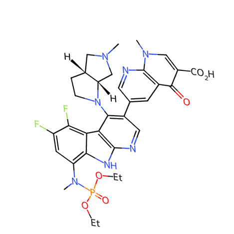 CCOP(=O)(OCC)N(C)c1cc(F)c(F)c2c1[nH]c1ncc(-c3cnc4c(c3)c(=O)c(C(=O)O)cn4C)c(N3CC[C@@H]4CN(C)C[C@@H]43)c12